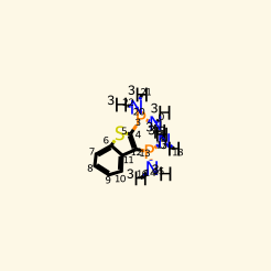 [3H]N([3H])P(c1sc2ccccc2c1P(N([3H])[3H])N([3H])[3H])N([3H])[3H]